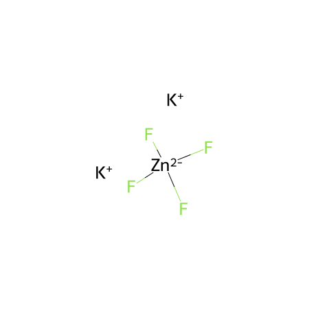 [F][Zn-2]([F])([F])[F].[K+].[K+]